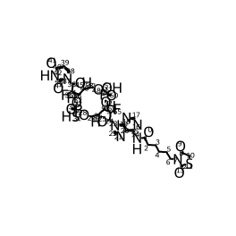 O=C(CCCCCN1C(=O)CSC1=O)Nc1ncnc2c1ncn2[C@@H]1O[C@@H]2COP(=O)(S)O[C@H]3[C@@H](F)[C@H](n4ccc(=O)[nH]c4=O)O[C@@H]3COP(=O)(O)O[C@H]2[C@H]1F